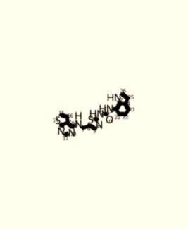 O=C(Nc1ncc(CNc2ncnc3sccc23)s1)Nc1cccc2cc[nH]c12